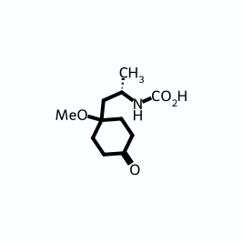 COC1(C[C@H](C)NC(=O)O)CCC(=O)CC1